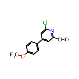 O=Cc1cc(-c2ccc(OC(F)(F)F)cc2)cc(Cl)n1